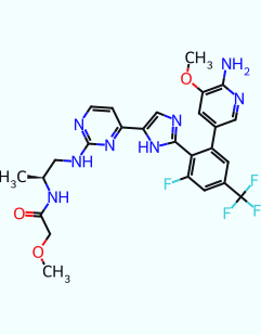 COCC(=O)N[C@@H](C)CNc1nccc(-c2cnc(-c3c(F)cc(C(F)(F)F)cc3-c3cnc(N)c(OC)c3)[nH]2)n1